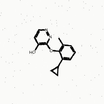 Cc1cccc(C2CC2)c1Oc1nnccc1O